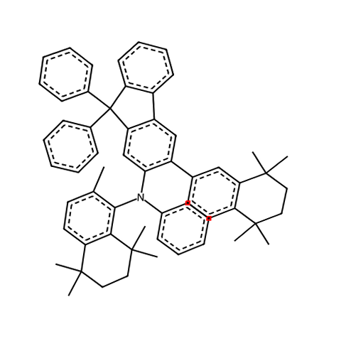 Cc1ccc2c(c1N(c1ccccc1)c1cc3c(cc1-c1ccc4c(c1)C(C)(C)CCC4(C)C)-c1ccccc1C3(c1ccccc1)c1ccccc1)C(C)(C)CCC2(C)C